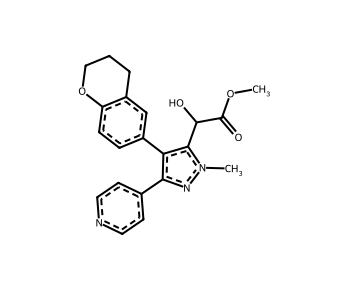 COC(=O)C(O)c1c(-c2ccc3c(c2)CCCO3)c(-c2ccncc2)nn1C